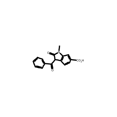 CN1C(=O)C(C(=O)c2ccccc2)c2ccc(C(=O)O)cc21